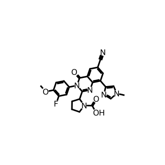 COc1ccc(-n2c(C3CCCN3C(=O)O)nc3c(-c4cn(C)cn4)cc(C#N)cc3c2=O)cc1F